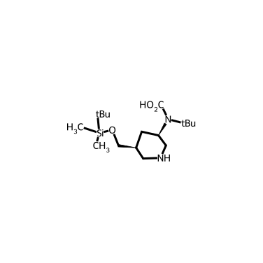 CC(C)(C)N(C(=O)O)[C@H]1CNC[C@@H](CO[Si](C)(C)C(C)(C)C)C1